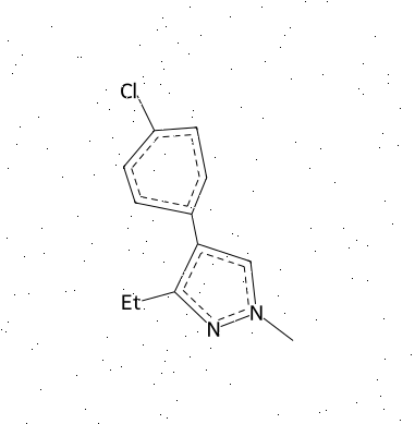 CCc1nn(C)cc1-c1ccc(Cl)cc1